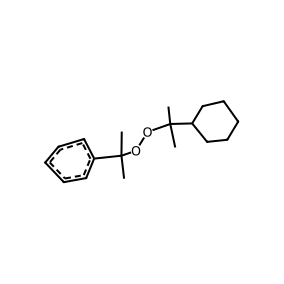 CC(C)(OOC(C)(C)C1CCCCC1)c1ccccc1